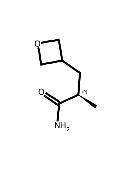 C[C@H](CC1COC1)C(N)=O